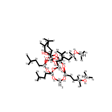 CC(C)CC[Si]1(O)O[Si]2(CCC(C)C)O[Si]3(CCC(C)C)O[SiH2]O[Si]4(CC[Si](C)(C)O[SiH](C)C)O[Si](CC[Si](C)(C)O[SiH](C)C)(O1)O[Si](CCC(C)C)(O2)O[Si](CCC(C)C)(O3)O4